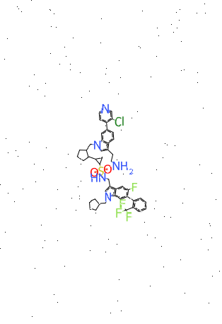 NCCc1cn(CC2CCCC2C2CC2S(=O)(=O)NCc2cn(CC3CCCC3)c3cc(-c4ccccc4C(F)(F)F)c(F)cc23)c2cc(-c3ccncc3Cl)ccc12